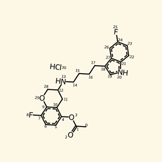 CC(=O)Oc1ccc(F)c2c1CC(NCCCCc1c[nH]c3ccc(F)cc13)CO2.Cl